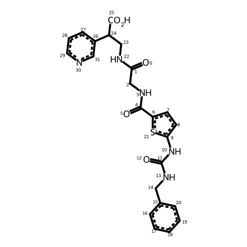 O=C(CNC(=O)c1ccc(NC(=O)NCc2ccccc2)s1)NCC(C(=O)O)c1cccnc1